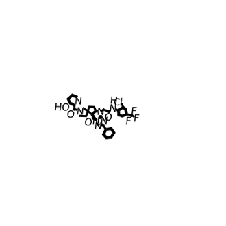 O=C(Cn1c2c(c(=O)n3nc(-c4ccccc4)nc13)C1(CC2)CCN(C(=O)c2ncccc2O)C1)Nc1ccc(C(F)(F)F)cc1Cl